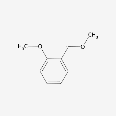 CO[CH]c1ccccc1OC